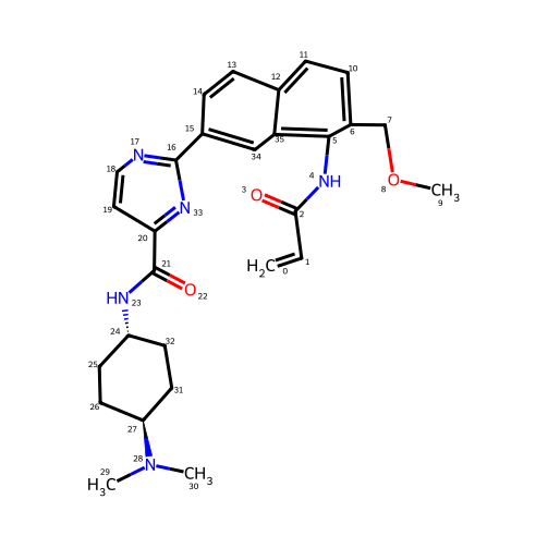 C=CC(=O)Nc1c(COC)ccc2ccc(-c3nccc(C(=O)N[C@H]4CC[C@H](N(C)C)CC4)n3)cc12